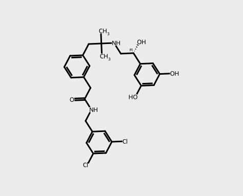 CC(C)(Cc1cccc(CC(=O)NCc2cc(Cl)cc(Cl)c2)c1)NC[C@H](O)c1cc(O)cc(O)c1